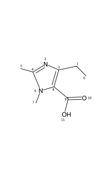 CCc1nc(C)n(C)c1C(=O)O